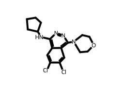 Clc1cc2c(NC3CCCC3)nnc(N3CCOCC3)c2cc1Cl